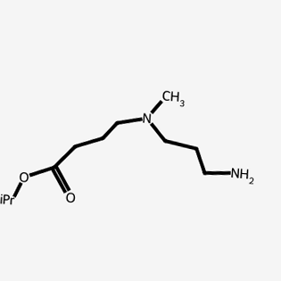 CC(C)OC(=O)CCCN(C)CCCN